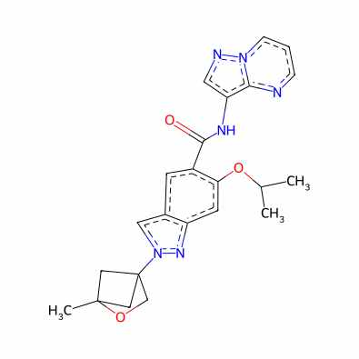 CC(C)Oc1cc2nn(C34COC(C)(C3)C4)cc2cc1C(=O)Nc1cnn2cccnc12